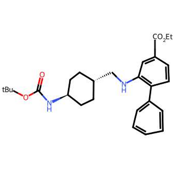 CCOC(=O)c1ccc(-c2ccccc2)c(NC[C@H]2CC[C@H](NC(=O)OC(C)(C)C)CC2)c1